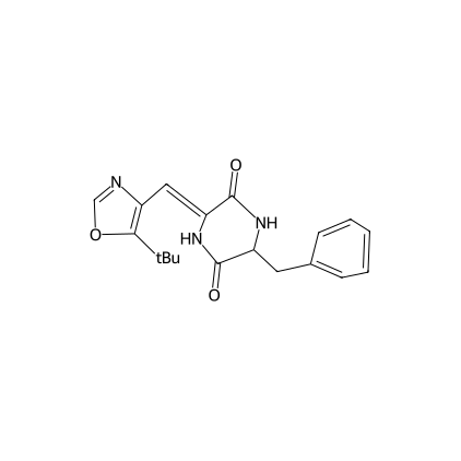 CC(C)(C)c1ocnc1C=C1NC(=O)C(Cc2ccccc2)NC1=O